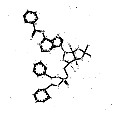 CC1(C)O[C@H]2[C@H](n3cnc4c(NC(=O)c5ccccc5)ncnc43)O[C@](F)(COP(=O)(OCc3ccccc3)OCc3ccccc3)[C@H]2O1